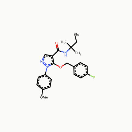 COc1ccc(-n2ncc(C(=O)NC(C)(C)CC(C)(C)C)c2OCc2ccc(F)cc2)cc1